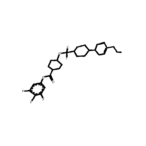 CCCC1=CCC(C2CCC(C(F)(F)OC3CCC(C(=O)Oc4cc(F)c(F)c(F)c4)CC3)CC2)CC1